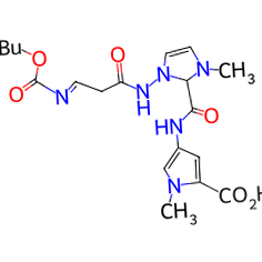 CN1C=CN(NC(=O)CC=NC(=O)OC(C)(C)C)C1C(=O)Nc1cc(C(=O)O)n(C)c1